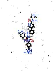 Cc1nc(C(=O)N[C@H]2CCNC2)ccc1-c1ccc(C[C@H](NC(=O)C2CCC(CN)CC2)C(=O)Nc2ccc(-c3nn[nH]n3)cc2)cc1